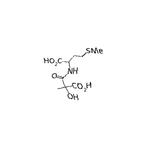 CSCCC(NC(=O)C(C)(O)C(=O)O)C(=O)O